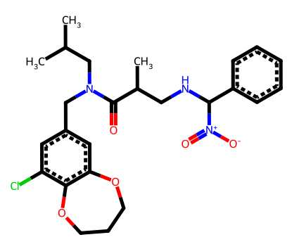 CC(C)CN(Cc1cc(Cl)c2c(c1)OCCCO2)C(=O)C(C)CNC(c1ccccc1)[N+](=O)[O-]